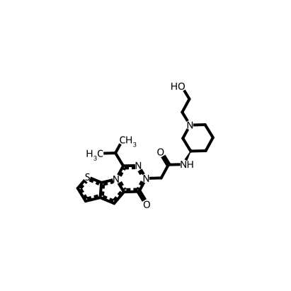 CC(C)c1nn(CC(=O)N[C@@H]2CCCN(CCO)C2)c(=O)c2cc3ccsc3n12